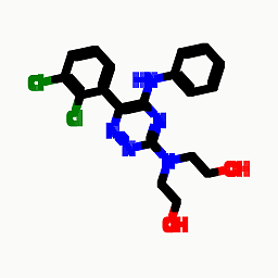 OCCN(CCO)c1nnc(-c2cccc(Cl)c2Cl)c(Nc2ccccc2)n1